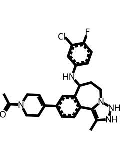 CC(=O)N1CC=C(c2ccc3c(c2)C(Nc2ccc(F)c(Cl)c2)CCN2NNC(C)=C32)CC1